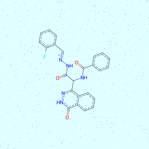 O=C(NC(C(=O)N/N=C/c1ccccc1F)c1n[nH]c(=O)c2ccccc12)c1ccccc1